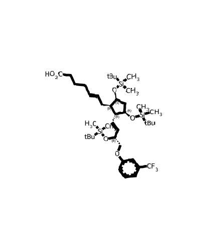 CC(C)(C)[Si](C)(C)O[C@H](C=C[C@@H]1[C@@H](CC=CCCCC(=O)O)[C@@H](O[Si](C)(C)C(C)(C)C)C[C@H]1O[Si](C)(C)C(C)(C)C)COc1cccc(C(F)(F)F)c1